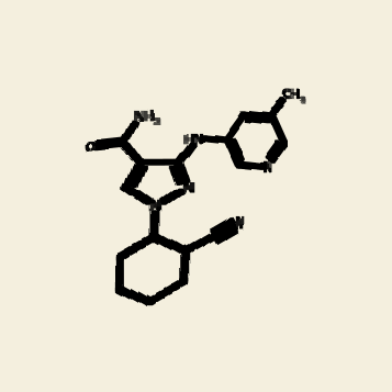 Cc1cncc(Nc2nn(C3CCCCC3C#N)cc2C(N)=O)c1